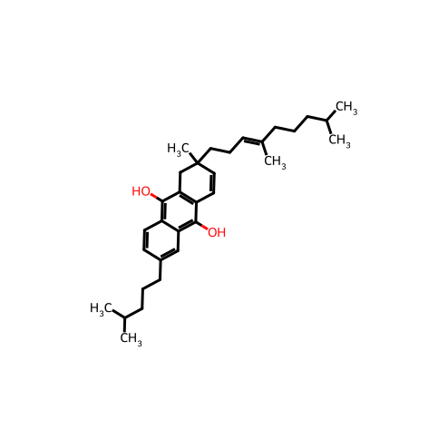 C/C(=C\CCC1(C)C=Cc2c(c(O)c3ccc(CCCC(C)C)cc3c2O)C1)CCCC(C)C